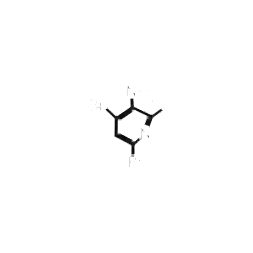 Cc1nc(Br)cc(Br)c1N